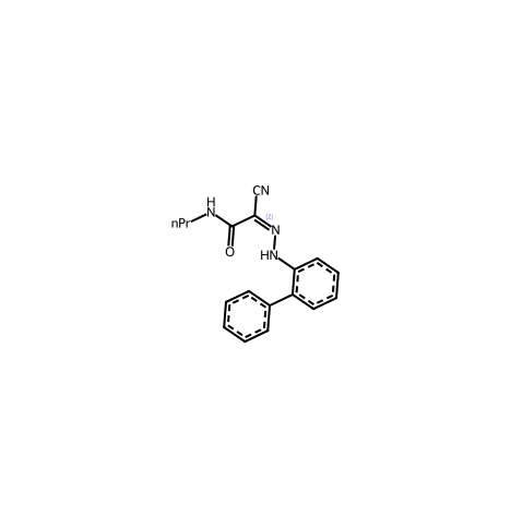 CCCNC(=O)/C(C#N)=N\Nc1ccccc1-c1ccccc1